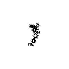 CS(=O)(=O)Nc1cc(C(=O)N2CCC(c3ccc(C#N)cc3)CC2)ccc1C1CCC1